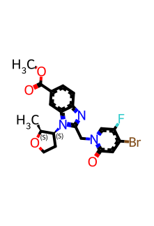 COC(=O)c1ccc2nc(Cn3cc(F)c(Br)cc3=O)n([C@H]3CCO[C@H]3C)c2c1